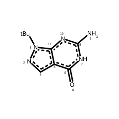 CC(C)(C)n1ncc2c(=O)[nH]c(N)nc21